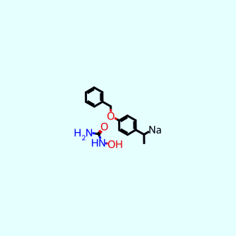 C[CH]([Na])c1ccc(OCc2ccccc2)cc1.NC(=O)NO